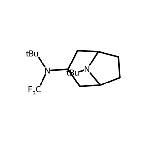 CC(C)(C)N1C2CCC1CC(N(C(C)(C)C)C(F)(F)F)C2